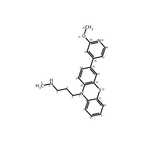 CNCCCN1c2ccccc2Sc2cc(-c3ccnc(OC)c3)ccc21